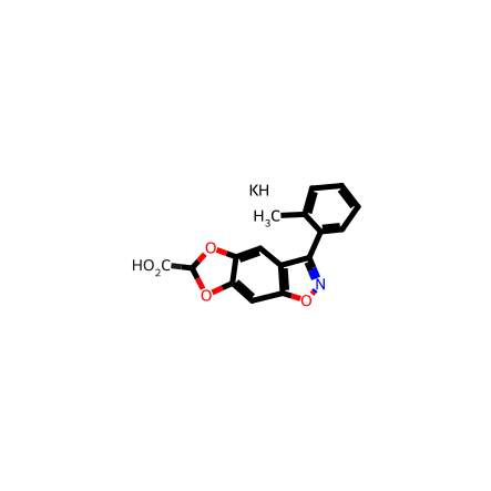 Cc1ccccc1-c1noc2cc3c(cc12)OC(C(=O)O)O3.[KH]